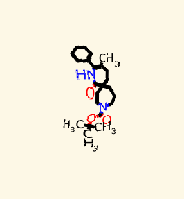 CC1=C(C2CCCCC2)NC(=O)C2(CCCN(C(=O)OC(C)(C)C)CC2)CC1